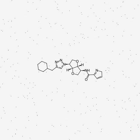 O=C(N[C@H]1CO[C@H]2[C@@H]1OC[C@@H]2n1cc(CC2CCCCC2)nn1)C1=NCC=C1